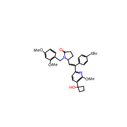 COc1ccc(CN2C(=O)CCC2/C=C(\c2ccc(C(C)(C)C)cc2)c2ccc(C3(O)CCC3)c(OC)n2)c(OC)c1